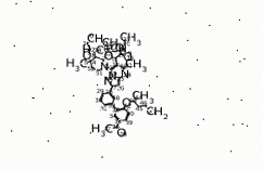 C=CCOC1(C)CCN(c2c([C@H](OC(C)(C)C)C(=O)OCC)c(C)nc3cc(-c4cccc(-c5cc(C(C)=O)ccc5O[C@@H](C)CC=C)c4)nn23)CC1